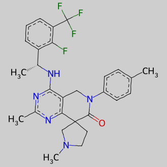 Cc1ccc(N2Cc3c(N[C@H](C)c4cccc(C(F)(F)F)c4F)nc(C)nc3C3(CCN(C)C3)C2=O)cc1